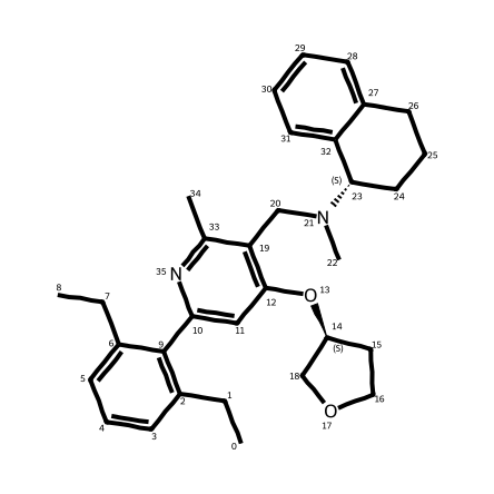 CCc1cccc(CC)c1-c1cc(O[C@H]2CCOC2)c(CN(C)[C@H]2CCCc3ccccc32)c(C)n1